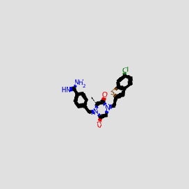 C[C@@H]1C(=O)N(Cc2cc3ccc(Cl)cc3s2)CC(=O)N1Cc1ccc(C(=N)N)cc1